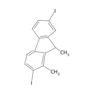 Cc1c(I)ccc2c1C(C)c1cc(I)ccc1-2